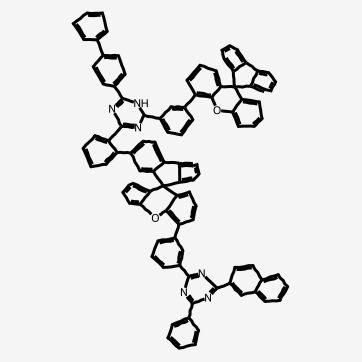 c1ccc(-c2ccc(C3=NC(c4ccccc4-c4ccc5c(c4)C4(c6ccccc6Oc6c(-c7cccc(-c8nc(-c9ccccc9)nc(-c9ccc%10ccccc%10c9)n8)c7)cccc64)c4ccccc4-5)=NC(c4cccc(-c5cccc6c5Oc5ccccc5C65c6ccccc6-c6ccccc65)c4)N3)cc2)cc1